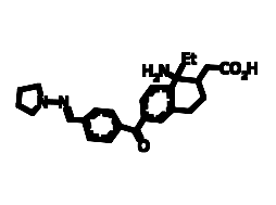 CCC1(N)c2ccc(C(=O)c3ccc(C=NN4CCCC4)cc3)cc2CCC1CC(=O)O